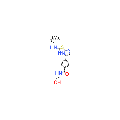 COCCNc1nn2c(-c3ccc(C(=O)NCCO)cc3)cnc2s1